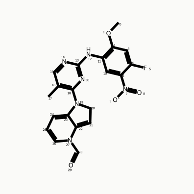 COc1cc(F)c([N+](=O)[O-])cc1Nc1ncc(C)c(N2CC=C3C2=CC=CN3C=O)n1